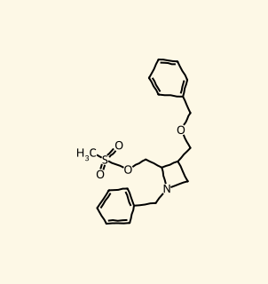 CS(=O)(=O)OCC1C(COCc2ccccc2)CN1Cc1ccccc1